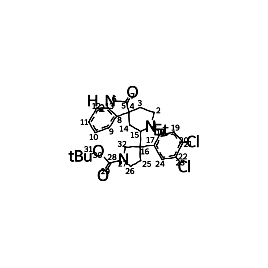 CCN1CCC(C(N)=O)(c2ccccc2)CC1C1(c2ccc(Cl)c(Cl)c2)CCN(C(=O)OC(C)(C)C)C1